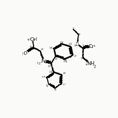 CCOC(=O)CN.O=C(O)CN=C(c1ccccc1)c1ccccc1